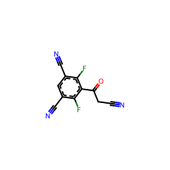 N#CCC(=O)c1c(F)c(C#N)cc(C#N)c1F